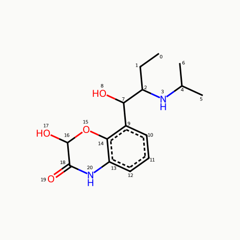 CCC(NC(C)C)C(O)c1cccc2c1OC(O)C(=O)N2